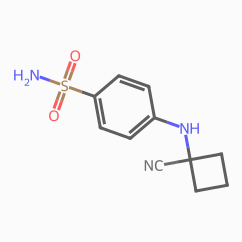 N#CC1(Nc2ccc(S(N)(=O)=O)cc2)CCC1